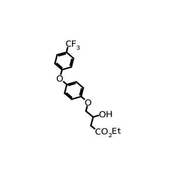 CCOC(=O)CC(O)COc1ccc(Oc2ccc(C(F)(F)F)cc2)cc1